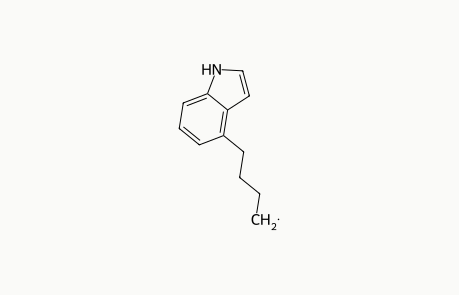 [CH2]CCCc1cccc2[nH]ccc12